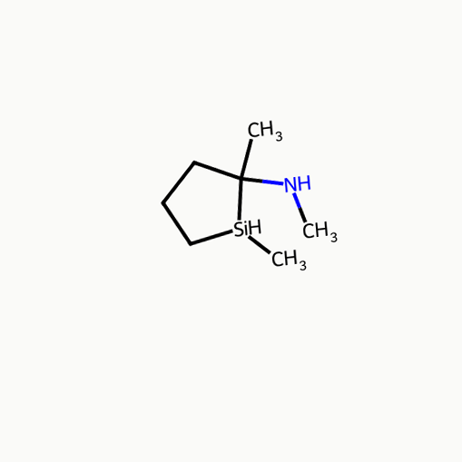 CNC1(C)CCC[SiH]1C